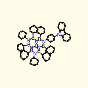 c1ccc(B2N3B4N(B(c5ccccc5)N2c2ccccc2)B(c2ccccc2)N(c2ccc(-n5c6ccccc6c6ccccc65)cc2)B(c2ccccc2)N4B(c2ccccc2)N(c2ccccc2)B3c2ccccc2)cc1